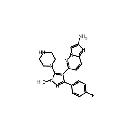 Cn1nc(-c2ccc(F)cc2)c(-c2ccc3nc(N)cn3n2)c1N1CCNCC1